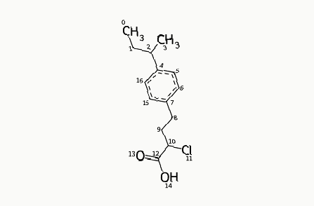 CCC(C)c1ccc(CCC(Cl)C(=O)O)cc1